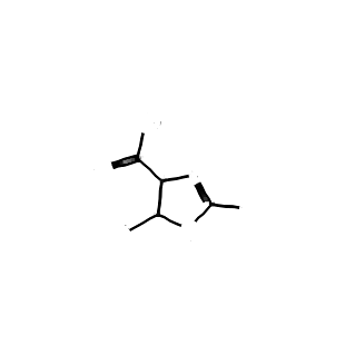 CCCC1=NC(C(=O)OC)C(C)O1